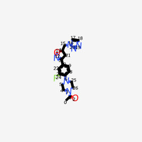 CC(=O)N1CCN(c2ccc(C3=NOC(Cn4ccnn4)C3)cc2F)CC1